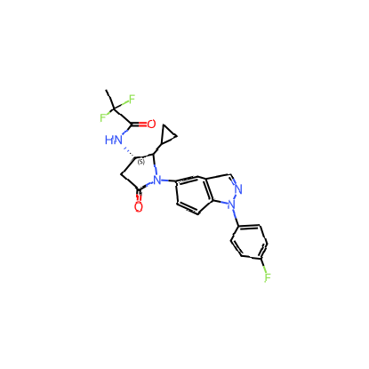 CC(F)(F)C(=O)N[C@H]1CC(=O)N(c2ccc3c(cnn3-c3ccc(F)cc3)c2)C1C1CC1